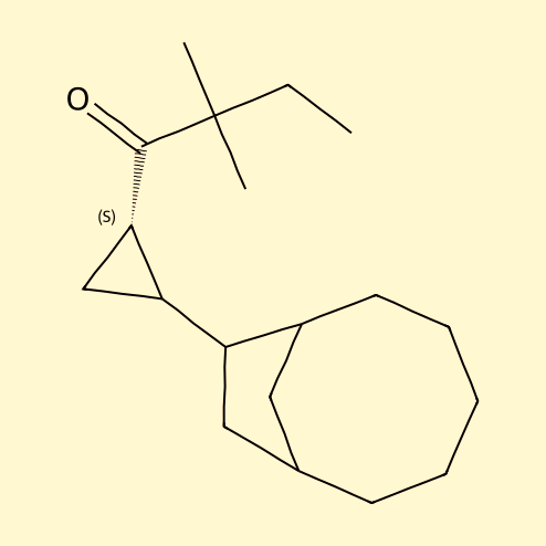 CCC(C)(C)C(=O)[C@H]1CC1C1CC2CCCCCC1C2